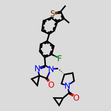 Cc1sc2ccc(-c3ccc(C4=NC5(CC5)C(=O)N4C[C@@H]4CCN(C(=O)C5CC5)C4)c(F)c3)cc2c1C